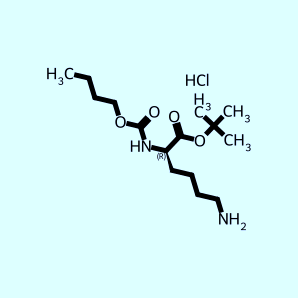 CCCCOC(=O)N[C@H](CCCCN)C(=O)OC(C)(C)C.Cl